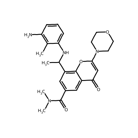 Cc1c(N)cccc1NC(C)c1cc(C(=O)N(C)C)cc2c(=O)cc(N3CCOCC3)oc12